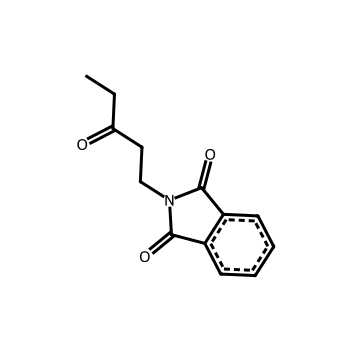 CCC(=O)CCN1C(=O)c2ccccc2C1=O